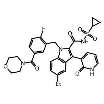 CCc1ccc2c(c1)c(-c1ccc[nH]c1=O)c(C(=O)NS(=O)(=O)C1CC1)n2Cc1cc(C(=O)N2CCOCC2)ccc1F